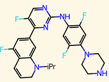 CC(C)N1CC=Cc2c(F)cc(-c3nc(Nc4cc(F)c(N5CCNCC5)cc4F)ncc3F)cc21